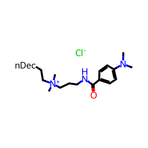 CCCCCCCCCCCC[N+](C)(C)CCCNC(=O)c1ccc(N(C)C)cc1.[Cl-]